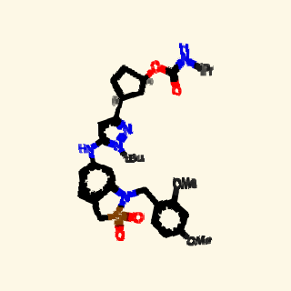 COc1ccc(CN2c3cc(Nc4cc([C@H]5CC[C@@H](OC(=O)NC(C)C)C5)nn4C(C)(C)C)ccc3CS2(=O)=O)c(OC)c1